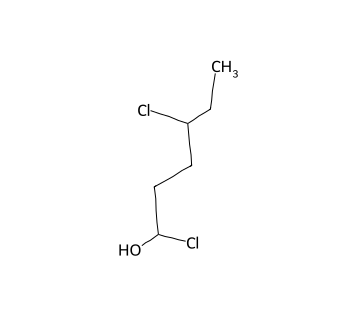 CCC(Cl)CCC(O)Cl